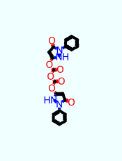 O=C(OC(=O)Oc1cc(=O)n(-c2ccccc2)[nH]1)Oc1cc(=O)n(-c2ccccc2)[nH]1